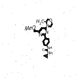 COCc1cc(N2CCOC[C@@H]2C)nc(-c2ccc(NC(=O)NC3CC3)cc2)n1